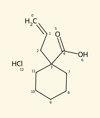 C=CCC1(C(=O)O)CCCCC1.Cl